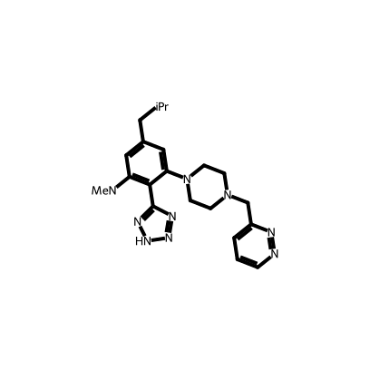 CNc1cc(CC(C)C)cc(N2CCN(Cc3cccnn3)CC2)c1-c1nn[nH]n1